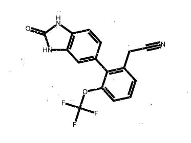 N#CCc1cccc(OC(F)(F)F)c1-c1ccc2[nH]c(=O)[nH]c2c1